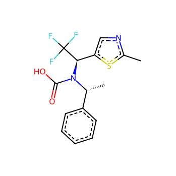 Cc1ncc([C@@H](N(C(=O)O)[C@H](C)c2ccccc2)C(F)(F)F)s1